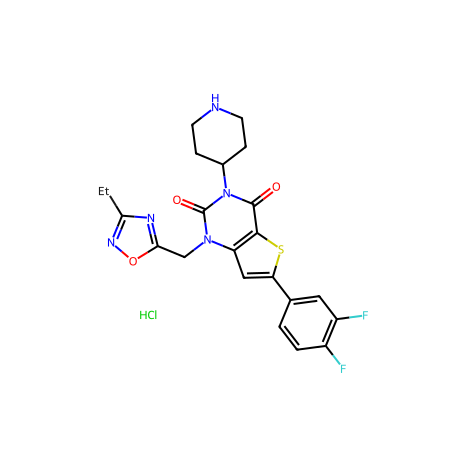 CCc1noc(Cn2c(=O)n(C3CCNCC3)c(=O)c3sc(-c4ccc(F)c(F)c4)cc32)n1.Cl